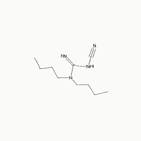 CCCCN(CCCC)C(=N)NC#N